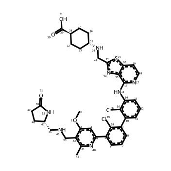 COc1cc(-c2cccc(-c3cccc(Nc4nccc5sc(CN[C@H]6CC[C@H](C(=O)O)CC6)nc45)c3Cl)c2Cl)nc(C)c1CNC[C@@H]1CCC(=O)N1